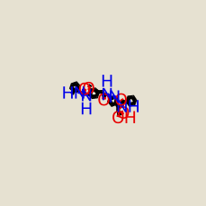 COc1cc(CC(=O)Nc2ccc(C(CC(=O)O)NC(=O)c3ccccc3)cn2)ccc1NC(=O)Nc1ccccc1C